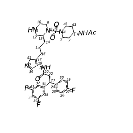 CC(=O)NC1CCN(S(=O)(=O)N2CCNC[C@@H]2CCCC2=C(NC(=O)C[C@@H](c3ccc(F)cc3)c3cc(F)cc(F)c3)C=NC2)CC1